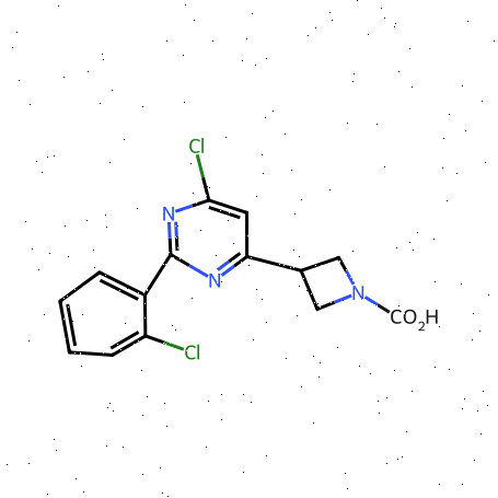 O=C(O)N1CC(c2cc(Cl)nc(-c3ccccc3Cl)n2)C1